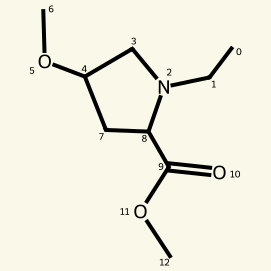 CCN1CC(OC)CC1C(=O)OC